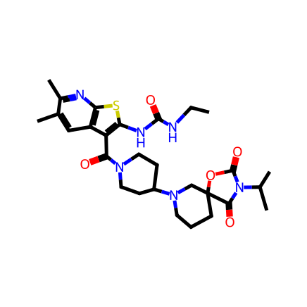 CCNC(=O)Nc1sc2nc(C)c(C)cc2c1C(=O)N1CCC(N2CCCC3(C2)OC(=O)N(C(C)C)C3=O)CC1